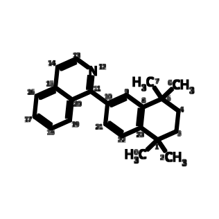 CC1(C)CCC(C)(C)c2cc(-c3nccc4ccccc34)ccc21